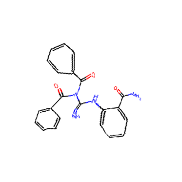 N=C(Nc1ccccc1C(N)=O)N(C(=O)c1ccccc1)C(=O)c1ccccc1